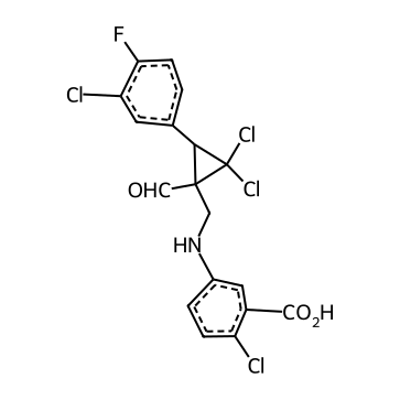 O=CC1(CNc2ccc(Cl)c(C(=O)O)c2)C(c2ccc(F)c(Cl)c2)C1(Cl)Cl